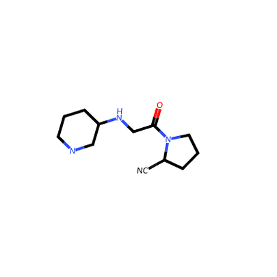 N#CC1CCCN1C(=O)CNC1CCC[N]C1